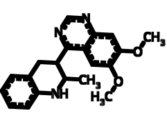 COc1cc2ncnc(C3Cc4ccccc4NC3C)c2cc1OC